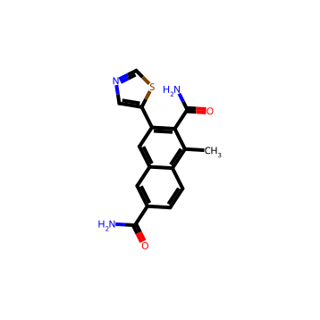 Cc1c(C(N)=O)c(-c2cncs2)cc2cc(C(N)=O)ccc12